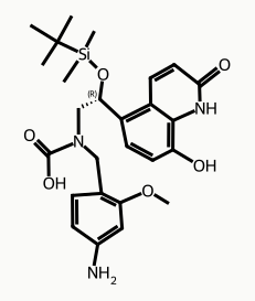 COc1cc(N)ccc1CN(C[C@H](O[Si](C)(C)C(C)(C)C)c1ccc(O)c2[nH]c(=O)ccc12)C(=O)O